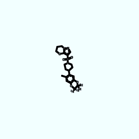 [2H]C1([2H])Oc2cc(C)c(C3CCN(S(=O)(=O)c4cnn5c4OCCC5)CC3)cc2OC1([2H])[2H]